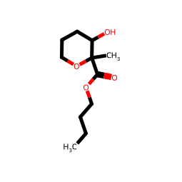 CCCCOC(=O)C1(C)OCCCC1O